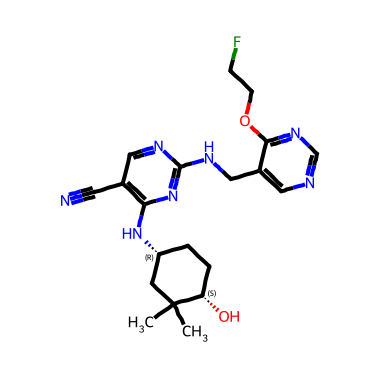 CC1(C)C[C@H](Nc2nc(NCc3cncnc3OCCF)ncc2C#N)CC[C@@H]1O